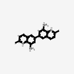 Cc1ccc2cc(-c3cc(N)c4nc(C)ccc4c3)cc(N)c2n1